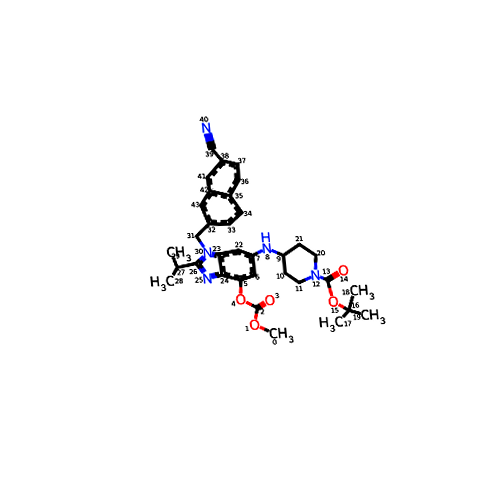 COC(=O)Oc1cc(NC2CCN(C(=O)OC(C)(C)C)CC2)cc2c1nc(C(C)C)n2Cc1ccc2ccc(C#N)cc2c1